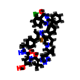 Cc1ncsc1-c1ccc([C@H](C)NC(=O)[C@@H]2C[C@@H](O)CN2C(=O)[C@@H](n2cc(C3(CN4CCC(c5ccc6c(c5)-n5c(nc(=O)c7c(Br)cccc75)C65CCCCC5)CC4)CC3)nn2)C(C)(C)C)cc1